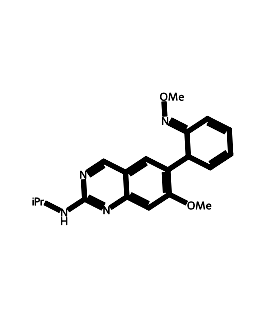 CON=C1C=CC=CC1c1cc2cnc(NC(C)C)nc2cc1OC